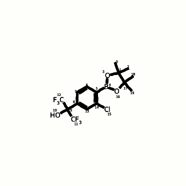 CC1(C)OB(c2ccc(C(O)(C(F)(F)F)C(F)(F)F)cc2Cl)OC1(C)C